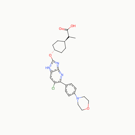 CC(C(=O)O)[C@H]1CC[C@H](Oc2nc3nc(-c4ccc(N5CCOCC5)cc4)c(Cl)cc3[nH]2)CC1